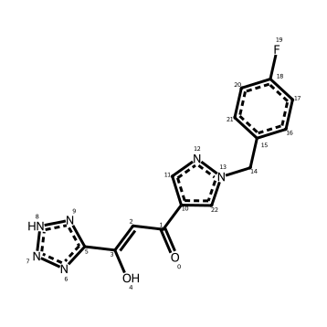 O=C(C=C(O)c1nn[nH]n1)c1cnn(Cc2ccc(F)cc2)c1